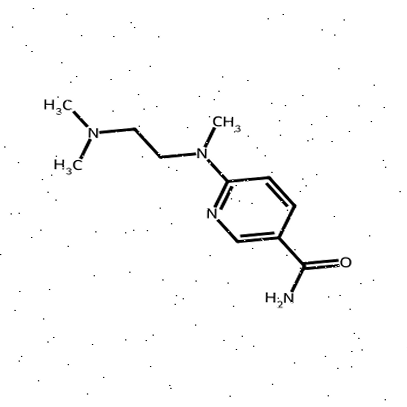 CN(C)CCN(C)c1ccc(C(N)=O)cn1